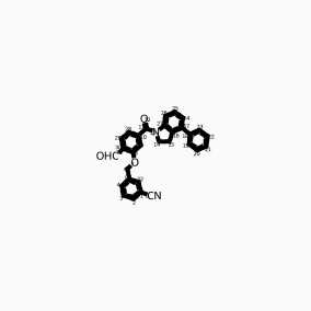 N#Cc1cccc(COc2cc(C(=O)N3CCc4c(-c5ccccc5)cccc43)ccc2C=O)c1